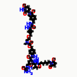 CC(C)[C@H](NC(=O)CCCCCN1C(=O)C=CC1=O)C(=O)N[C@@H](CCCNC(N)=O)C(=O)Nc1ccc(COC(=O)N(C)CCOCC23CC(NC(=O)NCc4ccc5c(c4)CN(C4CCC(=O)NC4=O)C5=O)(C2)C3)cc1